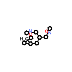 CC1(c2ccccc2)c2ccccc2-c2ccc(-c3cccc(-c4cc(-c5cccc(-c6nc7ccccc7o6)c5)cc(-c5cccc(-c6nc7ccccc7o6)c5)c4)c3)cc21